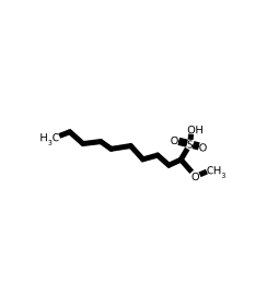 CCCCCCCCCC(OC)S(=O)(=O)O